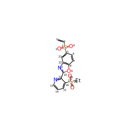 C=CS(=O)(=O)c1ccc2oc(-c3ncccc3S(=O)(=O)CC)nc2c1